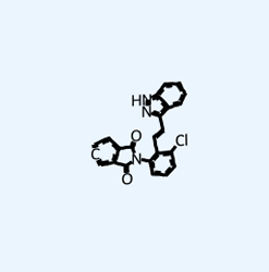 O=C1c2ccccc2C(=O)N1c1cccc(Cl)c1/C=C/c1n[nH]c2ccccc12